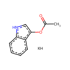 CC(=O)Oc1c[nH]c2ccccc12.[KH]